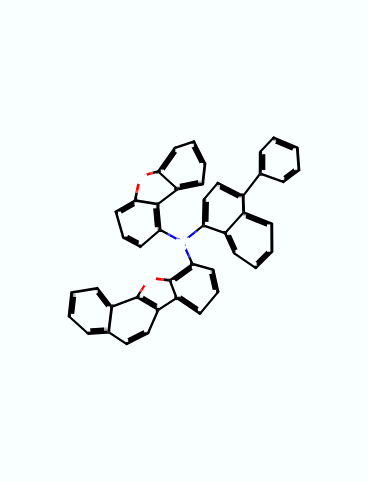 c1ccc(-c2ccc(N(c3cccc4c3oc3c5ccccc5ccc43)c3cccc4oc5ccccc5c34)c3ccccc23)cc1